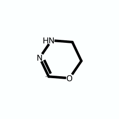 [C]1=NNCCO1